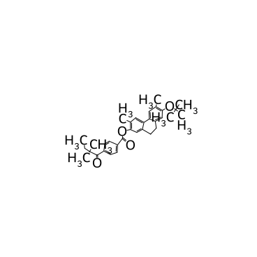 CCC(C)(C)C(=O)c1ccc(C(=O)Oc2cc3c(cc2C)-c2cc(C)c(OC(C)(C)C)cc2CC3)cc1